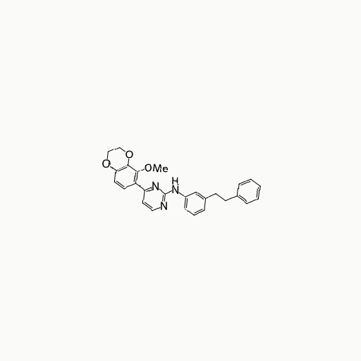 COc1c(-c2ccnc(Nc3cccc(CCc4ccccc4)c3)n2)ccc2c1OCCO2